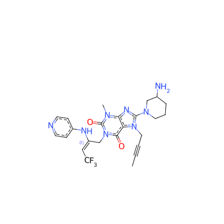 CC#CCn1c(N2CCCC(N)C2)nc2c1c(=O)n(C/C(=C\C(F)(F)F)Nc1ccncc1)c(=O)n2C